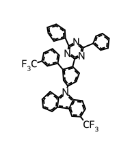 FC(F)(F)c1cccc(-c2cc(-n3c4ccccc4c4cc(C(F)(F)F)ccc43)ccc2-c2nc(-c3ccccc3)nc(-c3ccccc3)n2)c1